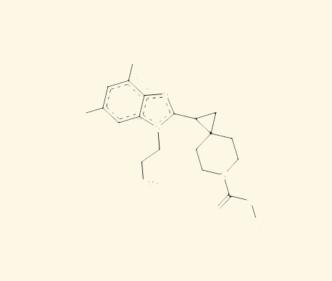 COCCn1c(C2CC23CCN(C(=O)OC(C)(C)C)CC3)nc2c(F)cc(C(=O)O)cc21